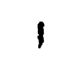 CCCCCC1CCC(C2CCC(/C=C/C3CCC(C4CCC(/C(F)=C/C(F)(F)F)CC4)OC3)CC2)CC1